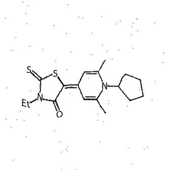 CCN1C(=O)C(=C2C=C(C)N(C3CCCC3)C(C)=C2)SC1=S